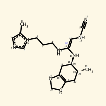 Cc1cncn1CCCN/C(=C/NC#N)N[C@@H]1CC2=C(C[C@H]1C)OCO2